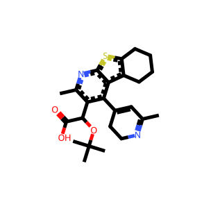 CC1=NCCC(c2c(C(OC(C)(C)C)C(=O)O)c(C)nc3sc4c(c23)CCCC4)=C1